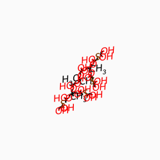 C[C@H](OCC(O)OCC(C)(COC(O)CSC(O)CO)COC(O)CSC(O)CO)[C@@H](C)OCC(O)OCC(C)(COC(O)CSC(O)CO)COC(O)CSC(O)CO